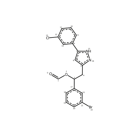 O=COC(Cc1cc(-c2cccc(Cl)c2)[nH]n1)c1cccc(Br)c1